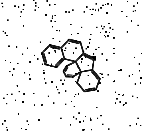 C1=CCC23C=CC=CC24C(=NC3=C1)C=Cc1ccccc14